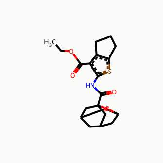 CCOC(=O)c1c(NC(=O)C23CC4CC(CC(C4)O2)C3)sc2c1CCC2